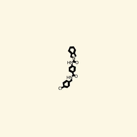 O=C(NCc1ccc(Cl)cc1)c1ccc(NC(=O)N2Cc3ccccc3C2)cc1